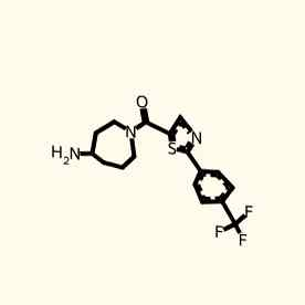 NC1CCCN(C(=O)c2cnc(-c3ccc(C(F)(F)F)cc3)s2)CC1